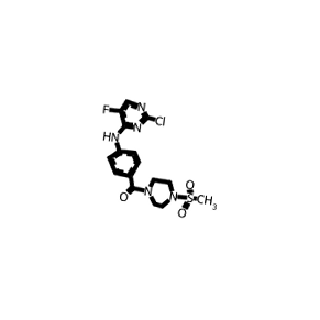 CS(=O)(=O)N1CCN(C(=O)c2ccc(Nc3nc(Cl)ncc3F)cc2)CC1